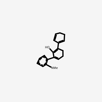 CNc1ccccc1C1=CCCC(C2=CCCC=C2)=C1O